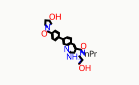 CCCN(CCCO)C(=O)C1=Cc2ccc(-c3ccc(C(=O)N4CC[C@H](O)C4)cc3)cc2N=C(N)C1